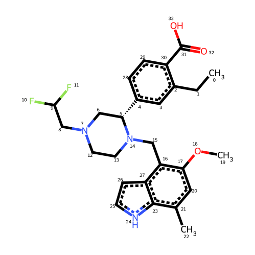 CCc1cc([C@H]2CN(CC(F)F)CCN2Cc2c(OC)cc(C)c3[nH]ccc23)ccc1C(=O)O